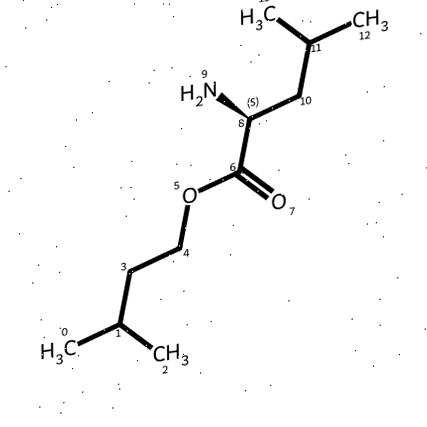 CC(C)CCOC(=O)[C@@H](N)CC(C)C